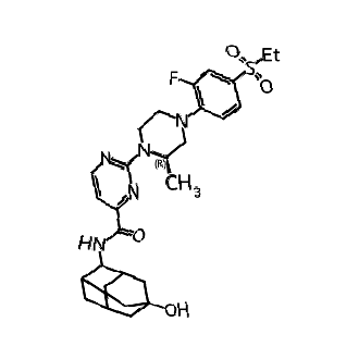 CCS(=O)(=O)c1ccc(N2CCN(c3nccc(C(=O)NC4C5CC6CC4CC(O)(C6)C5)n3)[C@H](C)C2)c(F)c1